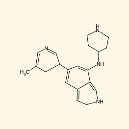 CC1=CN=CC(c2cc(NC3CCNCC3)c3c(c2)=CCNC=3)C1